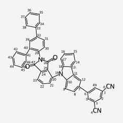 N#Cc1cc(C#N)cc(-c2ccc3c(c2)c2ccccc2n3-c2cccc3c2C(=O)N(c2ccc(-c4ccccc4)cc2-c2ccccc2)C3=O)c1